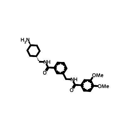 COc1ccc(C(=O)NCc2cccc(C(=O)NC[C@H]3CC[C@H](N)CC3)c2)cc1OC